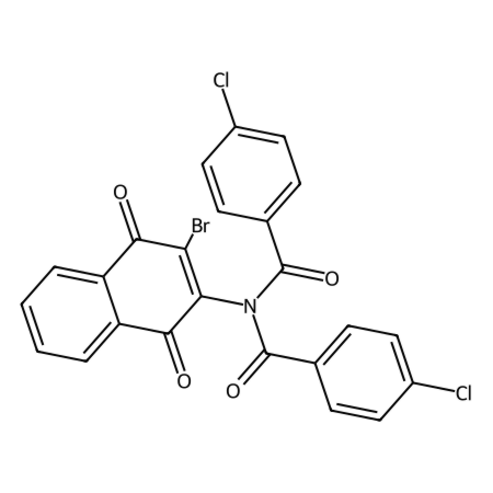 O=C1C(Br)=C(N(C(=O)c2ccc(Cl)cc2)C(=O)c2ccc(Cl)cc2)C(=O)c2ccccc21